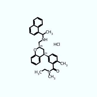 CCN(C)C(=O)c1cc([C@@H]2C[C@H](CNC(C)c3cccc4ccccc34)Oc3ccccc32)ccc1C.Cl